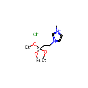 CCO[Si](CCn1cc[n+](C)c1)(OCC)OCC.[Cl-]